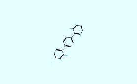 Fc1cc(F)c(-c2ccc(-c3c(F)cc(F)c(F)c3F)cc2)c(F)c1F